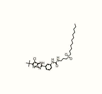 CCCCCCCCCCCCS(=O)(=O)CCCNC(=O)Nc1cccc(-c2nn3nc(C(C)(C)C)c(Cl)c3[nH]2)c1